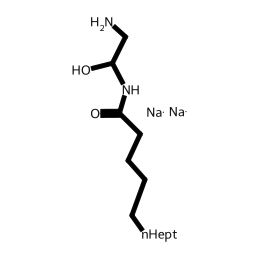 CCCCCCCCCCCC(=O)NC(O)CN.[Na].[Na]